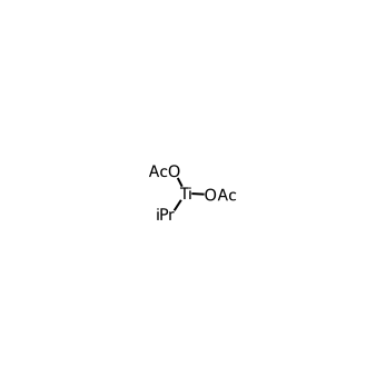 CC(=O)[O][Ti]([O]C(C)=O)[CH](C)C